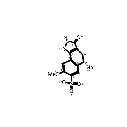 COc1cc2c(cc1S(=O)(=O)[O-])CCc1c-2ssc1=S.[Na+]